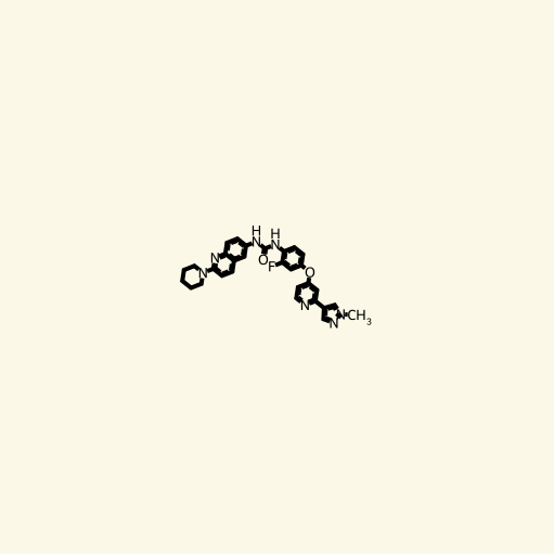 Cn1cc(-c2cc(Oc3ccc(NC(=O)Nc4ccc5nc(N6CCCCC6)ccc5c4)c(F)c3)ccn2)cn1